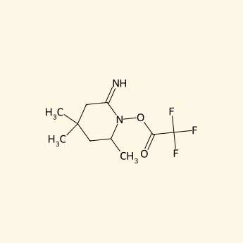 CC1CC(C)(C)CC(=N)N1OC(=O)C(F)(F)F